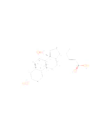 CC(CCC(=O)O)[C@H]1CC[C@H]2[C@@H]3[C@@H](O)C=C4C[C@@H](O)CC[C@]4(C)[C@H]3CC[C@]12C